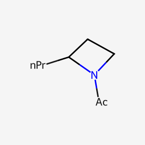 CCCC1CCN1C(C)=O